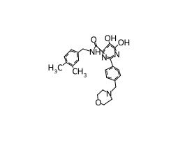 Cc1ccc(CNC(=O)c2nc(-c3ccc(CN4CCOCC4)cc3)nc(O)c2O)cc1C